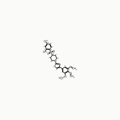 COc1cc(-c2csc(N3CCC(S(=O)(=O)c4ccc(Cl)cc4Cl)CC3)n2)cc(OC)c1OC